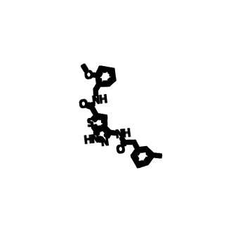 COc1ccccc1CNC(=O)c1cc2c(NC(=O)Cc3cccc(C)c3)n[nH]c2s1